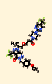 COc1ccc(Cn2ncc3c(c(C(F)(F)F)nn3C(C)COC=CC(=O)N3CCN(c4ncc(C(F)(F)F)cn4)CC3)c2=O)cc1